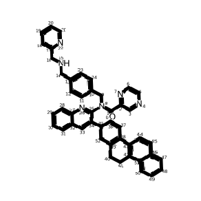 O=C(c1cnccn1)N(Cc1ccc(CNCc2ccccn2)cc1)c1nc2ccccc2cc1C1C=CC2=C(CCc3c2ccc2ccccc32)C1